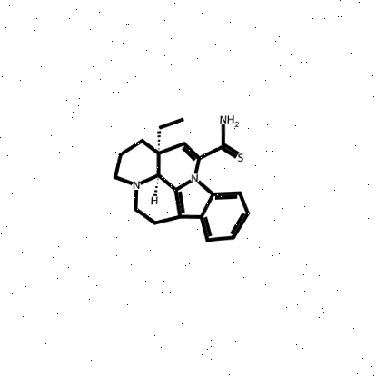 CC[C@@]12C=C(C(N)=S)n3c4c(c5ccccc53)CCN(CCC1)[C@H]42